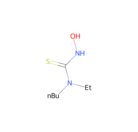 CCCCN(CC)C(=S)NO